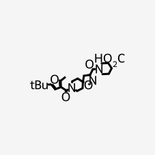 Cc1oc(C(C)(C)C)cc1C(=O)N1CCC2(CC1)CC(C(=O)N1CCCCC1C(=O)O)=NO2